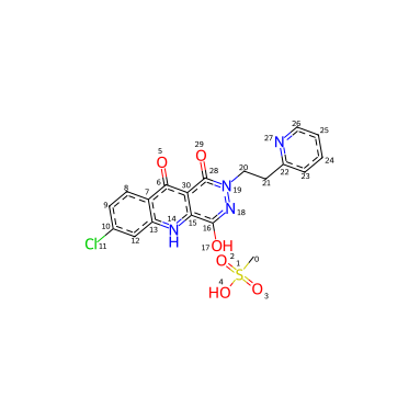 CS(=O)(=O)O.O=c1c2ccc(Cl)cc2[nH]c2c(O)nn(CCc3ccccn3)c(=O)c12